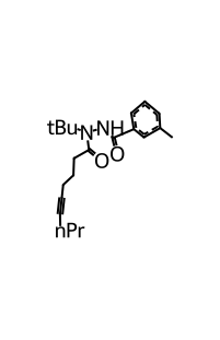 CCCC#CCCCC(=O)N(NC(=O)c1cccc(C)c1)C(C)(C)C